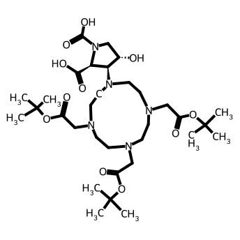 CC(C)(C)OC(=O)CN1CCN(CC(=O)OC(C)(C)C)CCN([C@H]2[C@@H](C(=O)O)N(C(=O)O)C[C@@H]2O)CCN(CC(=O)OC(C)(C)C)CC1